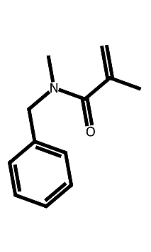 C=C(C)C(=O)N(C)Cc1ccccc1